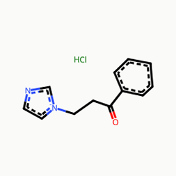 Cl.O=C(CCn1ccnc1)c1ccccc1